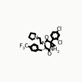 NC(=O)[C@H](Cc1ccc(C(F)(F)F)cc1)N(CCN1CCCC1)C(=O)C1(c2ccc(Cl)cc2Cl)CC1